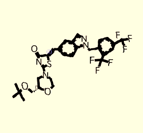 CC(C)(C)OC[C@@H]1CN(C2=NC(=O)/C(=C/c3ccc4c(cnn4Cc4ccc(C(F)(F)F)cc4C(F)(F)F)c3)S2)CCO1